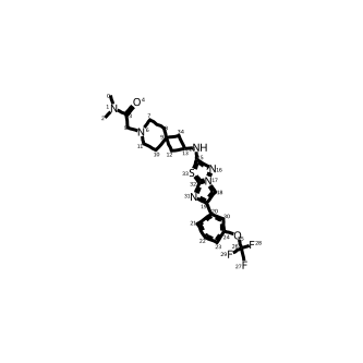 CN(C)C(=O)CN1CCC2(CC1)CC(Nc1nn3cc(-c4cccc(OC(F)(F)F)c4)nc3s1)C2